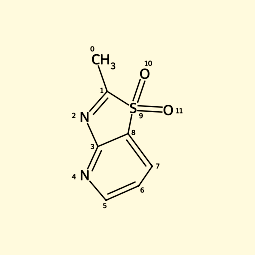 CC1=Nc2ncccc2S1(=O)=O